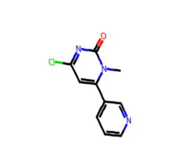 Cn1c(-c2cccnc2)cc(Cl)nc1=O